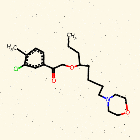 CCCC(CCCCN1CCOCC1)OCC(=O)c1ccc(C)c(Cl)c1